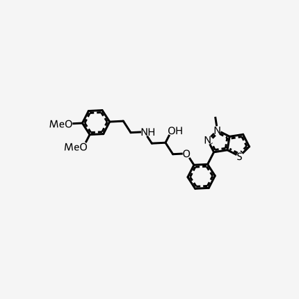 COc1ccc(CCNCC(O)COc2ccccc2-c2nn(C)c3ccsc23)cc1OC